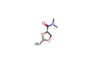 CCCCB1OC[C@H](C(=O)N(C)C)O1